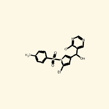 CCc1cc(C(O)c2cncnc2Cl)cn1S(=O)(=O)c1ccc(C)cc1